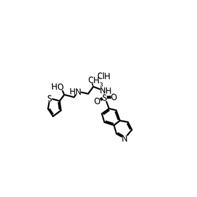 C[C@H](CNCC(O)c1cccs1)NS(=O)(=O)c1ccc2cnccc2c1.Cl